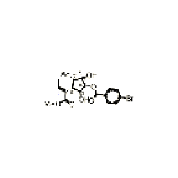 C/C=C(/C(=O)OC)[C@H]1[C@H](O)[C@H](OC(=O)c2ccc(Br)cc2)[C@](C)(O)[C@H]1C(C)=O